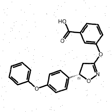 O=C(O)c1cccc(OC2=NO[C@H](c3ccc(Oc4ccccc4)cc3)C2)c1